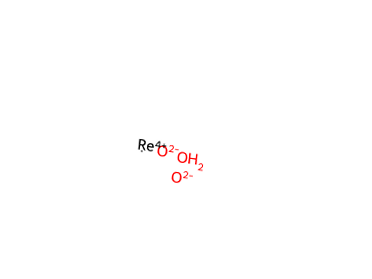 O.[O-2].[O-2].[Re+4]